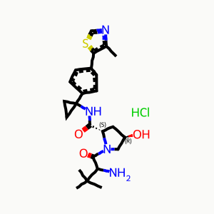 Cc1ncsc1-c1ccc(C2(NC(=O)[C@@H]3C[C@@H](O)CN3C(=O)C(N)C(C)(C)C)CC2)cc1.Cl